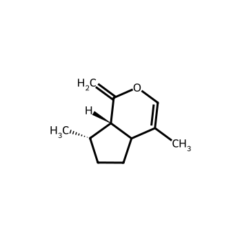 C=C1OC=C(C)C2CC[C@H](C)[C@H]12